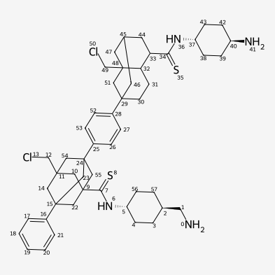 NC[C@H]1CC[C@H](NC(=S)C23CC4(CCl)CC(c5ccccc5)(C2)CC(c2ccc(C56CCC7C(C(=S)N[C@H]8CC[C@H](N)CC8)CC(C5)CC7(CCl)C6)cc2)(C4)C3)CC1